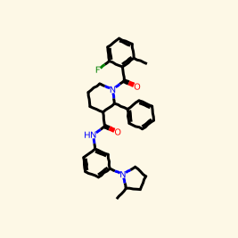 Cc1cccc(F)c1C(=O)N1CCCC(C(=O)Nc2cccc(N3CCCC3C)c2)C1c1ccccc1